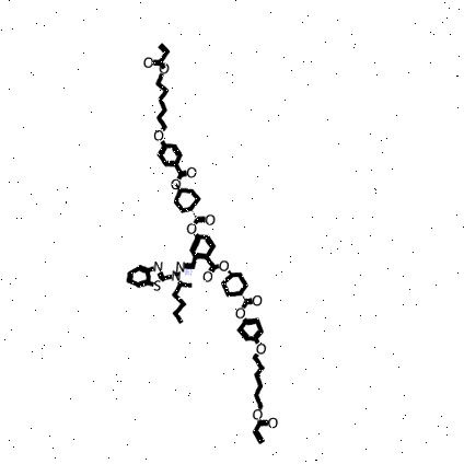 C=CC(=O)OCCCCCCOc1ccc(OC(=O)[C@H]2CC[C@H](OC(=O)c3ccc(OC(=O)[C@H]4CC[C@H](OC(=O)c5ccc(OCCCCCCOC(=O)C=C)cc5)CC4)cc3/C=N/N(c3nc4ccccc4s3)C(C)CCCC)CC2)cc1